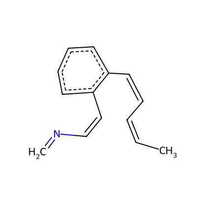 C=N/C=C\c1ccccc1/C=C\C=C/C